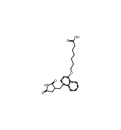 O=C(O)CCCCCCOc1ccc(CC2CC(=O)NC2=O)c2ccccc12